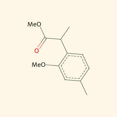 COC(=O)C(C)c1ccc(C)cc1OC